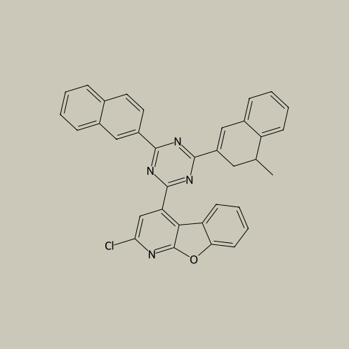 CC1CC(c2nc(-c3ccc4ccccc4c3)nc(-c3cc(Cl)nc4oc5ccccc5c34)n2)=Cc2ccccc21